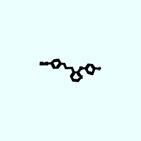 COc1ccc(CCCc2cccnc2Oc2ccc(F)cc2)cc1